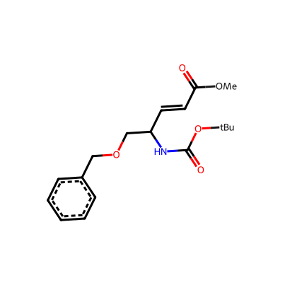 COC(=O)C=CC(COCc1ccccc1)NC(=O)OC(C)(C)C